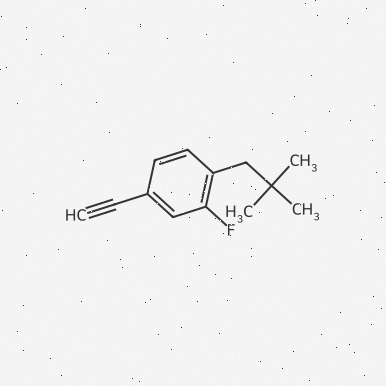 C#Cc1ccc(CC(C)(C)C)c(F)c1